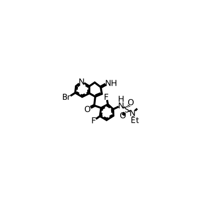 CCN(C)S(=O)(=O)Nc1ccc(F)c(C(=O)C2=CC(=N)Cc3ncc(Br)cc32)c1F